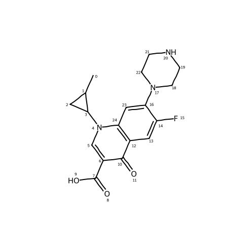 CC1CC1n1cc(C(=O)O)c(=O)c2cc(F)c(N3CCNCC3)cc21